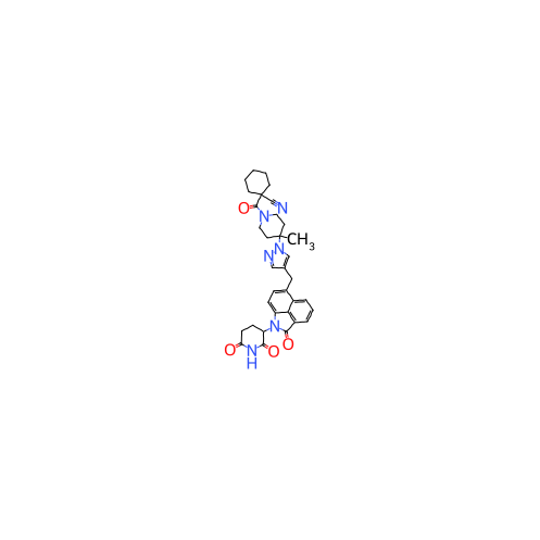 CC1(n2cc(Cc3ccc4c5c(cccc35)C(=O)N4C3CCC(=O)NC3=O)cn2)CCN(C(=O)C2(C#N)CCCCC2)CC1